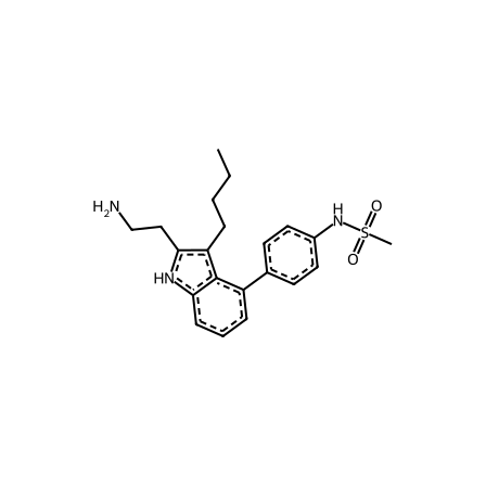 CCCCc1c(CCN)[nH]c2cccc(-c3ccc(NS(C)(=O)=O)cc3)c12